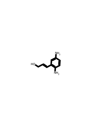 Nc1ccc(N)c(C=CCO)c1